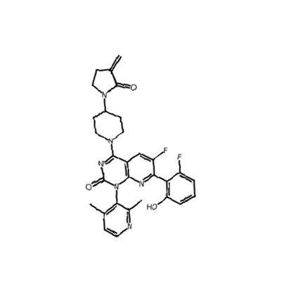 C=C1CCN(C2CCN(c3nc(=O)n(-c4c(C)ccnc4C)c4nc(-c5c(O)cccc5F)c(F)cc34)CC2)C1=O